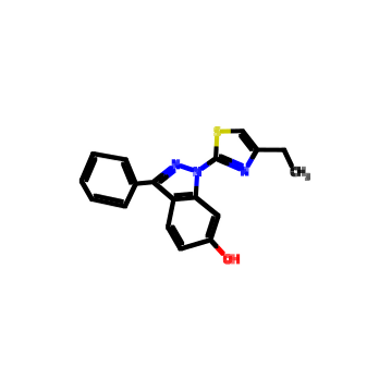 CCc1csc(-n2nc(-c3ccccc3)c3ccc(O)cc32)n1